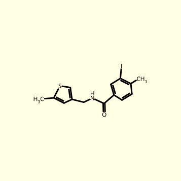 Cc1cc(CNC(=O)c2ccc(C)c(I)c2)cs1